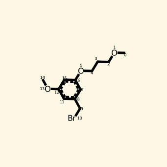 COCCCOc1cc(CBr)cc(OC)c1